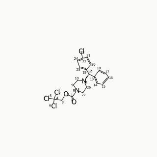 O=C(OCC(Cl)(Cl)Cl)N1CCN([C@H](c2ccccc2)c2ccc(Cl)cc2)CC1